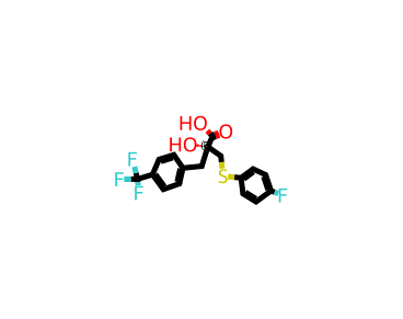 O=C(O)[C@@](O)(CSc1ccc(F)cc1)Cc1ccc(C(F)(F)F)cc1